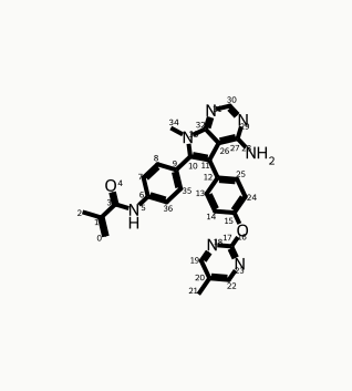 C=C(C)C(=O)Nc1ccc(-c2c(-c3ccc(Oc4ncc(C)cn4)cc3)c3c(N)ncnc3n2C)cc1